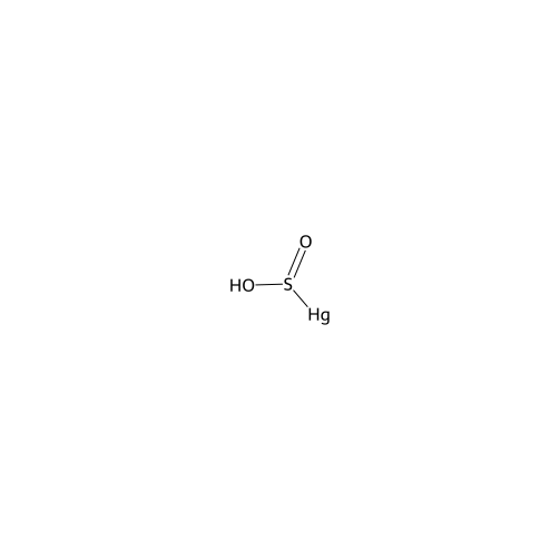 O=[S](O)[Hg]